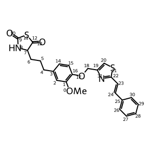 COc1cc(CCCC2NC(=O)SC2=O)ccc1OCc1csc(C=Cc2ccccc2)n1